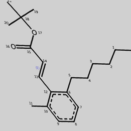 CCCCCCc1cccc(C)c1/C=C/C(=O)OC(C)(C)C